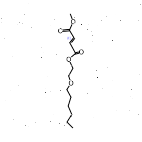 CCCCCCOCCOC(=O)/C=C/C(=O)OC